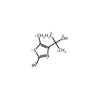 Cc1sc(C(C)C)nc1C(C)(C)O